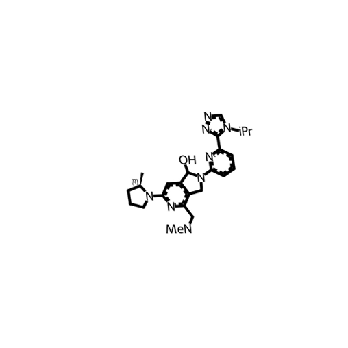 CNCc1nc(N2CCC[C@H]2C)cc2c1CN(c1cccc(-c3nncn3C(C)C)n1)C2O